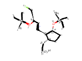 CC(C)(C)[Si](C)(C)O[C@H](/C=C/[C@@H]1[C@@H](CC(=O)O)CC[C@H]1O[Si](C)(C)C(C)(C)C)CF